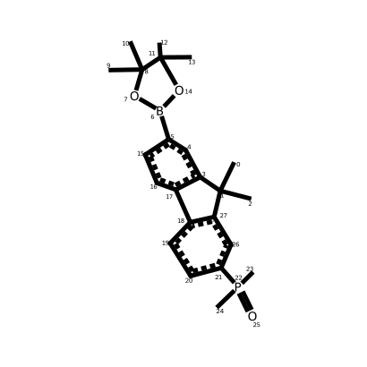 CC1(C)c2cc(B3OC(C)(C)C(C)(C)O3)ccc2-c2ccc(P(C)(C)=O)cc21